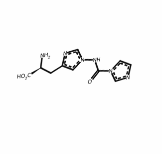 N[C@@H](Cc1cn(NC(=O)n2ccnc2)cn1)C(=O)O